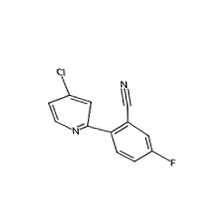 N#Cc1cc(F)ccc1-c1cc(Cl)ccn1